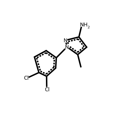 Cc1cc(N)nn1-c1ccc(Cl)c(Cl)c1